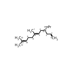 C=CCN(C/C=C(\C)CCC=C(C)C)CCC